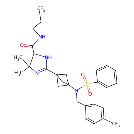 CC1(C)N=C(C23CC(N(Cc4ccc(C(F)(F)F)cc4)S(=O)(=O)c4ccccc4)(C2)C3)NC1C(=O)NCCC(F)(F)F